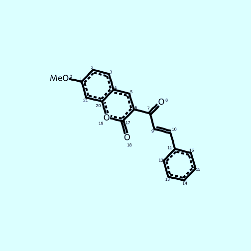 COc1ccc2cc(C(=O)C=Cc3ccccc3)c(=O)oc2c1